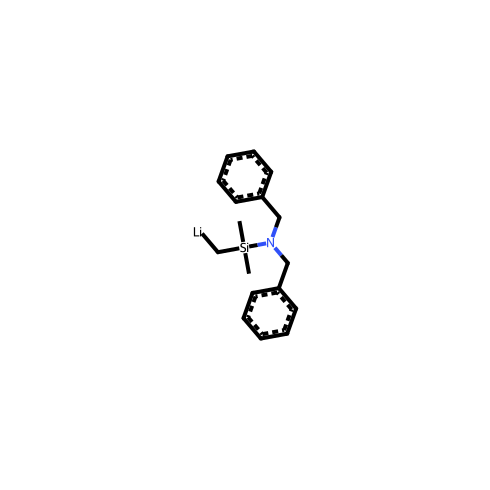 [Li][CH2][Si](C)(C)N(Cc1ccccc1)Cc1ccccc1